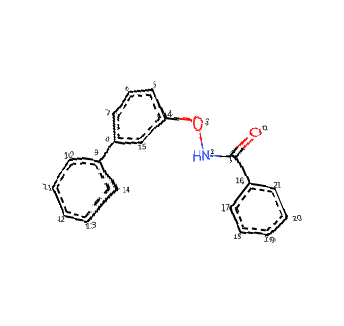 O=C(NOc1cccc(-c2ccccc2)c1)c1ccccc1